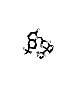 O=C(Cn1c(=O)ccc2cc(C(F)(F)F)ccc21)NC1SC=CC1(Cl)c1ncn[nH]1